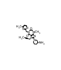 CC#CCn1c(N2CCC[C@@H](N)C2)nc2c1C(=O)N(Cc1nccc(C)n1)C1OC1N2C